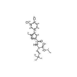 CCOC(=O)C(C=CC(C)(C)C)NC(=O)c1cc(-c2ccc(Cl)c(Cl)c2)n(C)n1